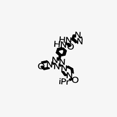 CC(C)C(=O)N1CCCN(c2nc(-c3ccc(NC(=O)Nc4cncnc4)cc3)nc(N3CCOCC3)n2)CC1